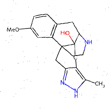 COc1ccc2c(c1)C13CCNC(C2)C1(O)Cc1c(n[nH]c1C)C3